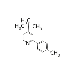 Cc1ccc(-c2cc(C(C)(C)C)ccn2)cc1